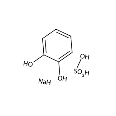 O=S(=O)(O)O.Oc1ccccc1O.[NaH]